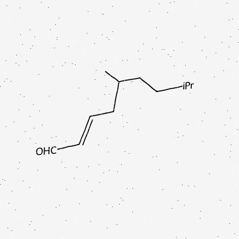 CC(C)CCC(C)CC=CC=O